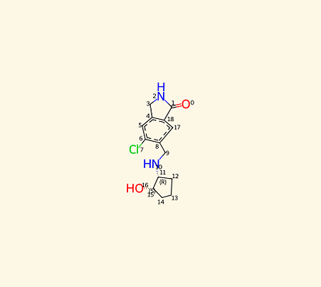 O=C1NCc2cc(Cl)c(CN[C@@H]3CCC[C@@H]3O)cc21